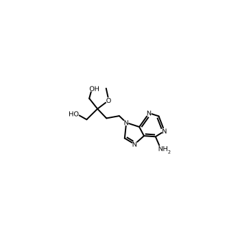 COC(CO)(CO)CCn1cnc2c(N)ncnc21